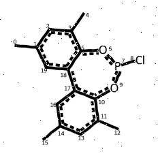 Cc1cc(C)c2op(Cl)oc3c(C)cc(C)cc3c2c1